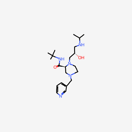 CC(C)NC[C@H](O)CN1CCN(Cc2cccnc2)C[C@H]1C(=O)NC(C)(C)C